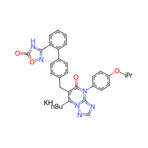 CCCCc1c(Cc2ccc(-c3ccccc3-c3noc(=O)[nH]3)cc2)c(=O)n(-c2ccc(OC(C)C)cc2)c2ncnn12.[KH]